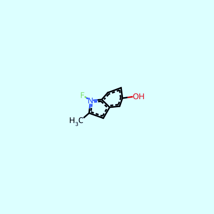 Cc1cc2cc(O)ccc2n1F